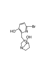 Oc1ccc(Br)nc1CC1(O)CN2CCC1CC2